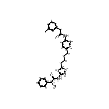 Cc1cccc(CC(=O)Nc2ccc(CCCCc3nnc(NC(=O)[C@@H](O)c4ccccc4)s3)nn2)c1